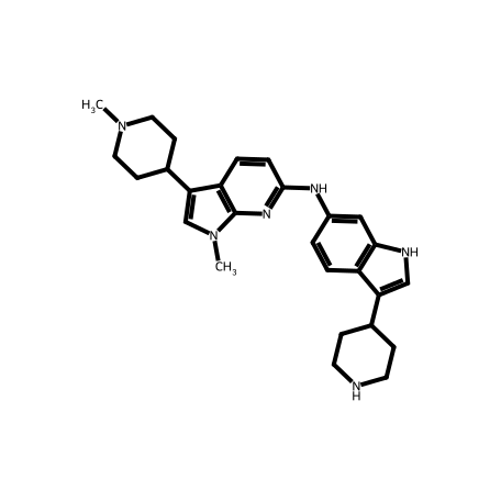 CN1CCC(c2cn(C)c3nc(Nc4ccc5c(C6CCNCC6)c[nH]c5c4)ccc23)CC1